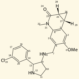 COc1cc2c(cc1CNC1CCNC1c1cccc(Cl)c1)N(C)C(=O)[C@@H]1C[C@H]21